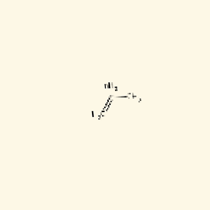 C=CC.[InH3]